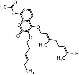 CC/C=C/CCOc1c(OC/C=C(\C)CCC=C(C)C)c2cccc(OC(C)=O)c2oc1=O